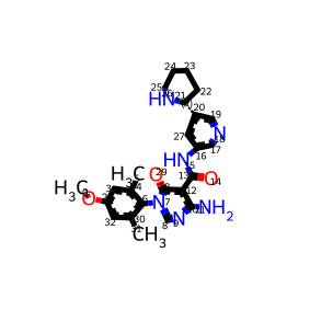 COc1cc(C)c(-n2cnc(N)c(C(=O)Nc3cncc([C@H]4CCCCN4)c3)c2=O)c(C)c1